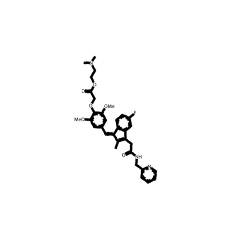 COc1cc(/C=C2/C(C)=C(CC(=O)NCc3ccccn3)c3cc(F)ccc32)cc(OC)c1OCC(=O)OCCN(C)C